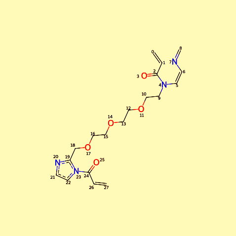 C=CC(=O)N(/C=C\N=C)CCOCCOCCOCc1nccn1C(=O)C=C